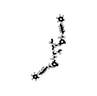 C=CC(=O)OCC(COCC(COC(=O)C=C)OC(=O)NCC1(C)CC(NC(=O)OCC(F)(F)C(F)(F)C(F)(F)C(F)(F)COc2c(F)c(F)c(F)c(F)c2F)CC(C)(C)C1)OC(=O)NCC1(C)CC(NC(=O)OCC(F)(F)C(F)(F)C(F)(F)C(F)(F)COc2c(F)c(F)c(F)c(F)c2F)CC(C)(C)C1